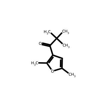 Cc1cc(C(=O)C(C)(C)C)c(C)o1